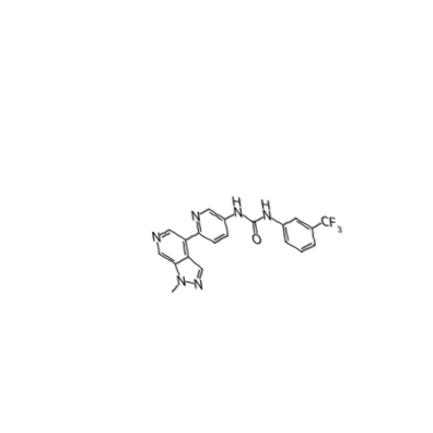 Cn1ncc2c(-c3ccc(NC(=O)Nc4cccc(C(F)(F)F)c4)cn3)cncc21